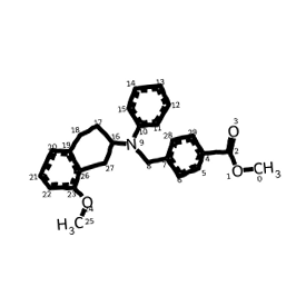 COC(=O)c1ccc(CN(c2ccccc2)C2CCc3cccc(OC)c3C2)cc1